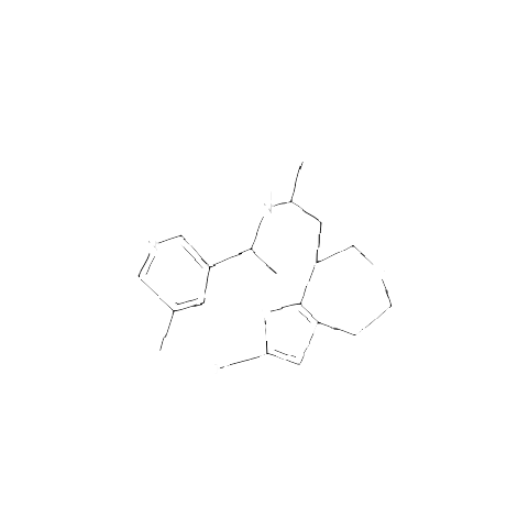 Cc1cncc(C2C[C@@]3(COCCc4cc(Cl)sc43)CC(C)N2)c1